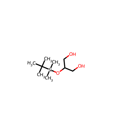 CC(C)(C)[Si](C)(C)OC(CO)CO